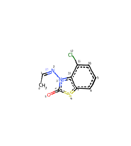 C/C=N\n1c(=O)sc2cccc(Cl)c21